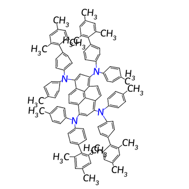 Cc1ccc(N(c2ccc(-c3c(C)cc(C)cc3C)cc2)c2cc(N(c3ccc(C)cc3)c3ccc(-c4c(C)cc(C)cc4C)cc3)c3ccc4c(N(c5ccc(C)cc5)c5ccc(-c6c(C)cc(C)cc6C)cc5)cc(N(c5ccc(C)cc5)c5ccc(-c6c(C)cc(C)cc6C)cc5)c5ccc2c3c54)cc1